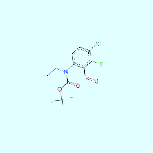 CCN(C(=O)OC(C)(C)C)c1ccc(Cl)c(F)c1C=O